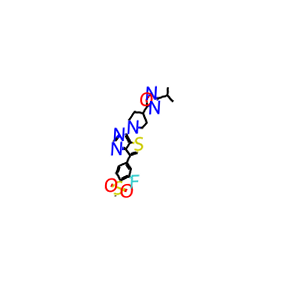 CC(C)c1noc(C2CCN(c3ncnc4c(-c5ccc(S(C)(=O)=O)c(F)c5)csc34)CC2)n1